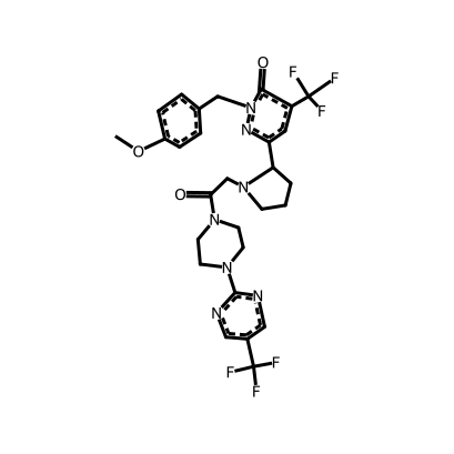 COc1ccc(Cn2nc(C3CCCN3CC(=O)N3CCN(c4ncc(C(F)(F)F)cn4)CC3)cc(C(F)(F)F)c2=O)cc1